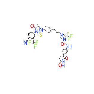 CC1(C)C(=O)N(c2ccc(C#N)c(C(F)(F)F)c2)C(=S)N1[C@H]1CC[C@H](CCCN2CCN(CC(=O)Nc3ccc(C4CCC(=O)NC4=O)cc3)[C@@H](C(F)(F)F)C2)CC1